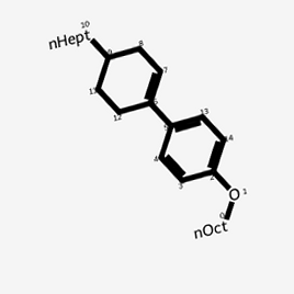 CCCCCCCCOc1ccc(C2=CCC(CCCCCCC)CC2)cc1